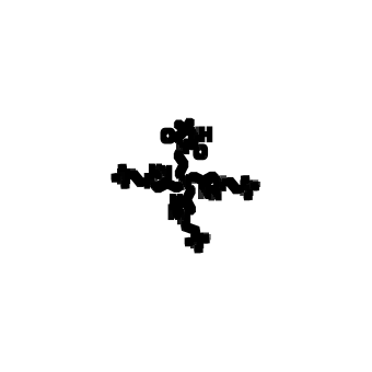 CC1(C)NC(=O)N(CCC[N+](Cc2cn(CC[N+](C)(C)C)nn2)(Cc2cn(CC[N+](C)(C)C)nn2)Cc2cn(CC[N+](C)(C)C)nn2)C1=O